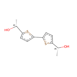 C[C@@H](O)c1ccc(-c2ccc([C@@H](C)O)s2)s1